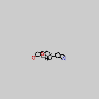 COC1CCC2=CC3=CCC4(C)C(c5ccc6ccncc6c5)CC[C@H]4[C@@]34CC[C@]2(C1)O4